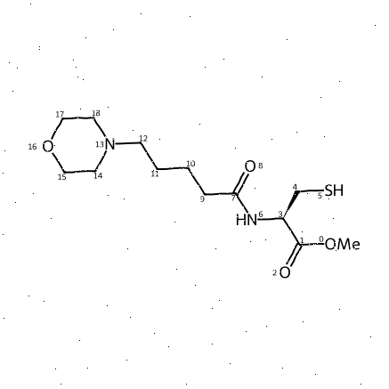 COC(=O)[C@H](CS)NC(=O)CCCCN1CCOCC1